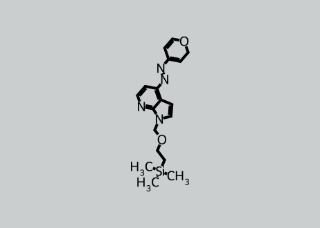 C[Si](C)(C)CCOCn1ccc2c(N=NC3=CCOC=C3)ccnc21